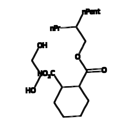 CCCCCC(CCC)COC(=O)C1CCCCC1C(=O)O.OCCO